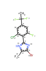 CC(F)(F)c1cc(F)c(-c2nc(Br)c(C(F)(F)F)[nH]2)c(Cl)c1